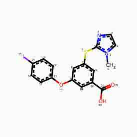 Cn1ccnc1Sc1cc(Oc2ccc(I)cc2)cc(C(=O)O)c1